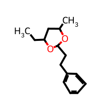 CCC1CC(C)OC(CCc2ccccc2)O1